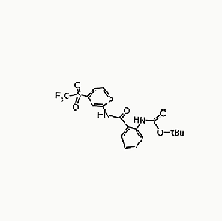 CC(C)(C)OC(=O)Nc1ccccc1C(=O)Nc1cccc(S(=O)(=O)C(F)(F)F)c1